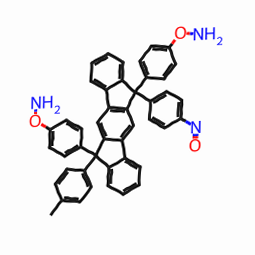 Cc1ccc(C2(c3ccc(ON)cc3)c3ccccc3-c3cc4c(cc32)-c2ccccc2C4(c2ccc(N=O)cc2)c2ccc(ON)cc2)cc1